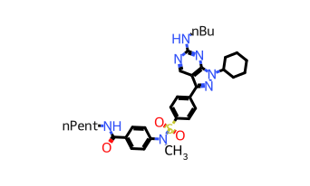 CCCCCNC(=O)c1ccc(N(C)S(=O)(=O)c2ccc(-c3nn(C4CCCCC4)c4nc(NCCCC)ncc34)cc2)cc1